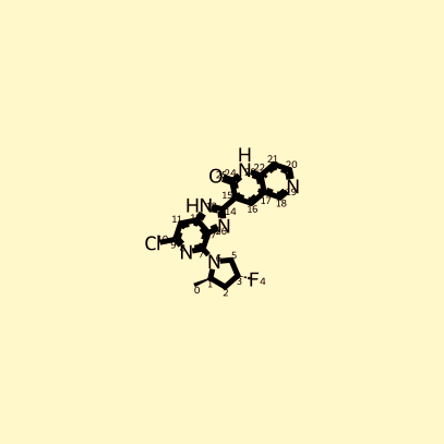 C[C@@H]1C[C@@H](F)CN1c1nc(Cl)cc2[nH]c(-c3cc4cnccc4[nH]c3=O)nc12